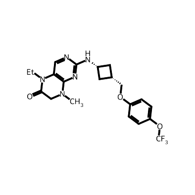 CCN1C(=O)CN(C)c2nc(N[C@H]3C[C@@H](COc4ccc(OC(F)(F)F)cc4)C3)ncc21